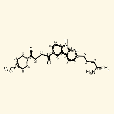 CC(N)CCCc1ccc2c(n1)[nH]c1ccc(C(=O)CCC(=O)N3CCN(C)CC3)cc12